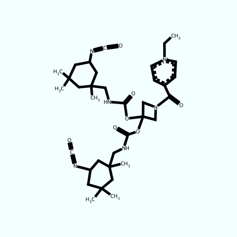 CC[n+]1ccc(C(=O)N2CC(OC(=O)NCC3(C)CC(N=C=O)CC(C)(C)C3)(OC(=O)NCC3(C)CC(N=C=O)CC(C)(C)C3)C2)cc1